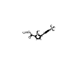 COC(=O)c1ccc(C#C[Si](C)(C)C)n1C